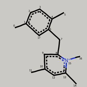 Cc1ccc(C)c(Cc2cc(C)cc(C)[n+]2C)c1